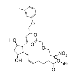 Cc1cccc(OC[C@@H](/C=C/[C@@H]2[C@@H](C/C=C\CCCC(=O)OC(C)C)[C@@H](O)C[C@H]2O)OC(=O)COCCO[N+](=O)[O-])c1